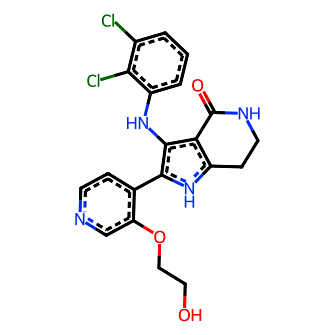 O=C1NCCc2[nH]c(-c3ccncc3OCCO)c(Nc3cccc(Cl)c3Cl)c21